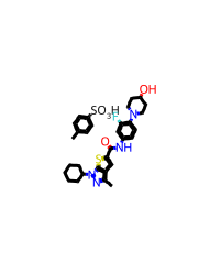 Cc1ccc(S(=O)(=O)O)cc1.Cc1nn(C2CCCCC2)c2sc(C(=O)Nc3ccc(N4CCC(O)CC4)c(F)c3)cc12